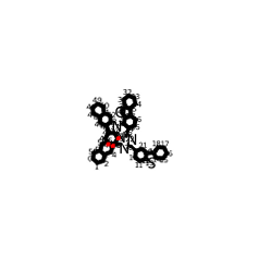 c1ccc2cc(-c3nc(-c4ccc5sc6ccccc6c5c4)nc(-c4ccc5c(oc6ccccc65)c4-n4c5ccccc5c5cc6ccccc6cc54)n3)ccc2c1